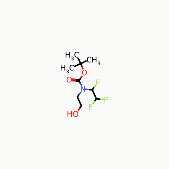 CC(C)(C)OC(=O)N(CCO)C(F)C(F)F